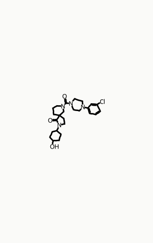 O=C(N1CCN(c2cccc(Cl)c2)CC1)N1CCCC2(CCN(C3CCC(O)CC3)C2=O)C1